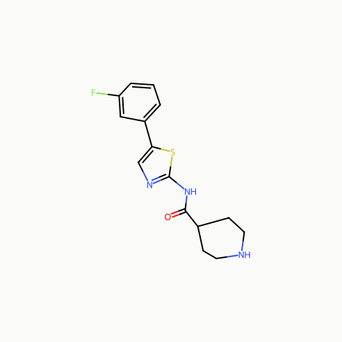 O=C(Nc1ncc(-c2cccc(F)c2)s1)C1CCNCC1